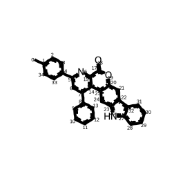 Cc1ccc(-c2cc(-c3ccccc3)c3c(n2)c(=O)oc2cc4c(cc23)[nH]c2ccccc24)cc1